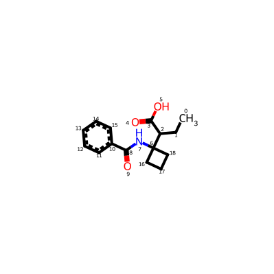 CCC(C(=O)O)C1(NC(=O)c2ccccc2)CCC1